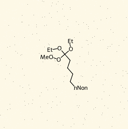 CCCCCCCCCCCCCC(OCC)(OCC)OOC